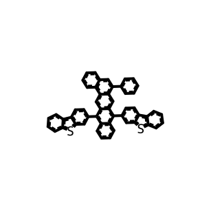 c1ccc(-c2cc3ccccc3c3cc4c(-c5ccc6c(c5)sc5ccccc56)c5ccccc5c(-c5ccc6c(c5)sc5ccccc56)c4cc23)cc1